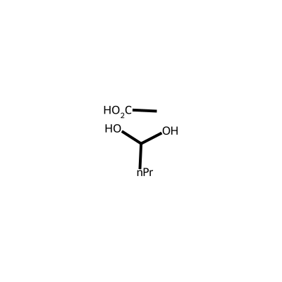 CC(=O)O.CCCC(O)O